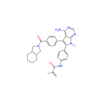 C=C(C)C(=O)Nc1ccc(-c2c(-c3ccc(C(=O)N4CC5CCCCC5C4)cc3)c3c(N)ncnc3n2C)cc1